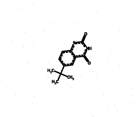 CC(C)(C)c1ccc2sc(=O)[nH]c(=O)c2c1